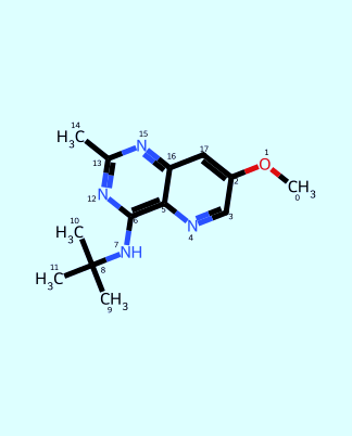 COc1cnc2c(NC(C)(C)C)nc(C)nc2c1